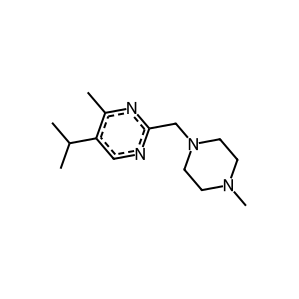 Cc1nc(CN2CCN(C)CC2)ncc1C(C)C